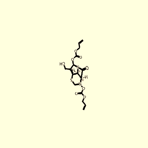 C=CCOC(=O)OC1C(CO)=C2SCN(OC(=O)OCC=C)[C@@H]3C(=O)N1[C@H]23